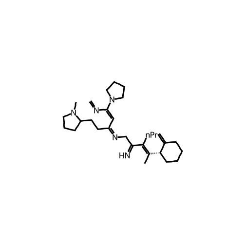 C=N/C(=C\C(CCC1CCCN1C)=N/CC(=N)/C(CCC)=C(\C)[C@H]1CCCCC1=C)N1CCCC1